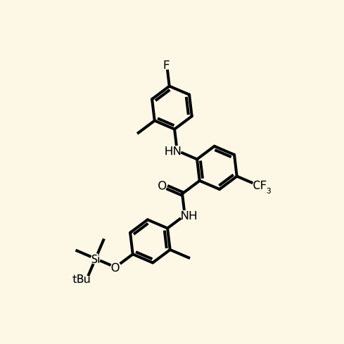 Cc1cc(O[Si](C)(C)C(C)(C)C)ccc1NC(=O)c1cc(C(F)(F)F)ccc1Nc1ccc(F)cc1C